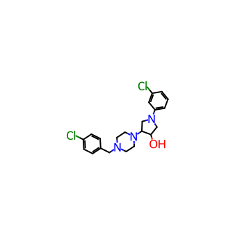 OC1CN(c2cccc(Cl)c2)CC1N1CCN(Cc2ccc(Cl)cc2)CC1